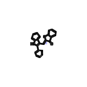 O=C1/C(=C/c2c(-c3ccccc3)[nH]c3ccccc23)Oc2ccccc21